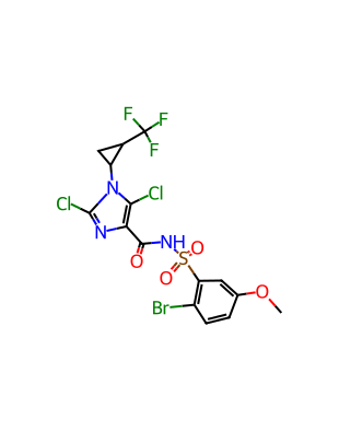 COc1ccc(Br)c(S(=O)(=O)NC(=O)c2nc(Cl)n(C3CC3C(F)(F)F)c2Cl)c1